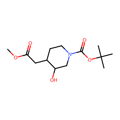 COC(=O)CC1CCN(C(=O)OC(C)(C)C)CC1O